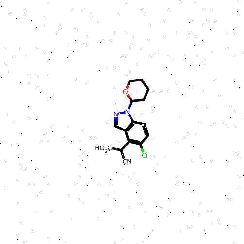 N#CC(C(=O)O)c1c(Cl)ccc2c1cnn2C1CCCCO1